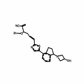 C=C(C#N)C(C/C=C/c1ncc(-c2cccc3c2CCC3N2CC(O)C2)s1)OC(C)C